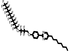 CCCCCCCCc1cnc(-c2ccc(OCC(F)(F)C(F)(F)OC(F)(F)C(F)(F)C(F)(F)C(F)(F)C(F)(F)C(F)(F)C(F)(F)C(F)(F)F)cc2)nc1